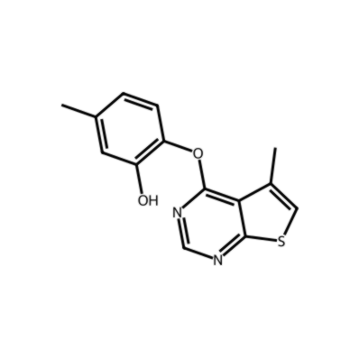 Cc1ccc(Oc2ncnc3scc(C)c23)c(O)c1